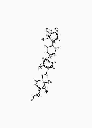 CCOc1ccc(CCc2ccc(C3=CCC(c4ccc(C)c(F)c4F)CC3)cc2F)c(F)c1F